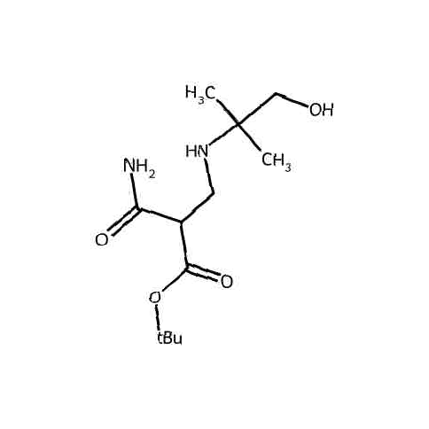 CC(C)(CO)NCC(C(N)=O)C(=O)OC(C)(C)C